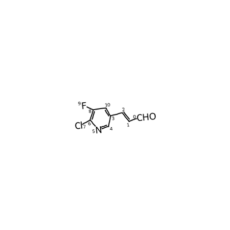 O=C/C=C/c1cnc(Cl)c(F)c1